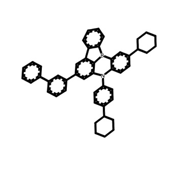 c1ccc(-c2cccc(-c3cc4c5c(c3)N(c3ccc(C6CCCCC6)cc3)c3ccc(C6CCCCC6)cc3B5c3ccccc3-4)c2)cc1